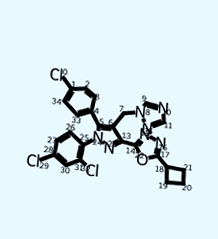 Clc1ccc(-c2c(Cn3cncn3)c(-c3nnc(C4CCC4)o3)nn2-c2ccc(Cl)cc2Cl)cc1